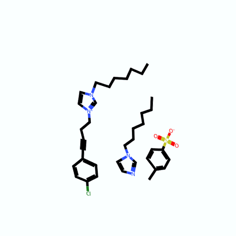 CCCCCCCn1cc[n+](CCC#Cc2ccc(Cl)cc2)c1.CCCCCCCn1ccnc1.Cc1ccc(S(=O)(=O)[O-])cc1